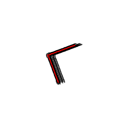 [O-][I+2]([O-])O.[O-][I+2]([O-])O.[Sr+2].[Sr+2].[Sr+2].[Sr+2].[Sr+2].[Sr+2].[Sr+2].[Sr+2].[Sr+2].[Sr+2].[Sr+2].[Sr+2].[Sr+2].[Sr+2].[Sr+2].[Sr+2].[Sr+2].[Sr+2].[Sr+2].[Sr+2].[Sr+2].[Sr+2].[Sr+2].[Sr+2].[Sr+2].[Sr+2].[Sr+2].[Sr+2].[Sr+2].[Sr+2].[Sr+2].[Sr+2].[Sr+2].[Sr+2].[Sr+2].[Sr+2].[Sr+2].[Sr+2].[Sr+2].[Sr+2].[Sr+2].[Sr+2].[Sr+2].[Sr+2].[Sr+2].[Sr+2].[Sr+2].[Sr+2].[Sr+2].[Sr+2].[Sr+2].[Sr+2].[Sr+2].[Sr+2].[Sr+2].[Sr+2].[Sr+2].[Sr+2].[Sr+2].[Sr+2].[Sr+2].[Sr+2].[Sr+2].[Sr+2].[Sr+2].[Sr+2].[Sr+2].[Sr+2].[Sr+2].[Sr+2].[Sr+2].[Sr+2].[Sr+2].[Sr+2].[Sr+2].[Sr+2].[Sr+2].[Sr+2].[Sr+2].[Sr+2].[Sr+2].[Sr+2].[Sr+2].[Sr+2].[Sr+2].[Sr+2].[Sr+2].[Sr+2].[Sr+2].[Sr+2].[Sr+2].[Sr+2].[Sr+2].[Sr+2].[Sr+2].[Sr+2].[Sr+2].[Sr+2].[Sr+2].[Sr+2].[Sr+2].[Sr+2].[Sr+2]